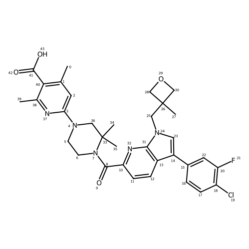 Cc1cc(N2CCN(C(=O)c3ccc4c(-c5ccc(Cl)c(F)c5)cn(CC5(C)COC5)c4n3)C(C)(C)C2)nc(C)c1C(=O)O